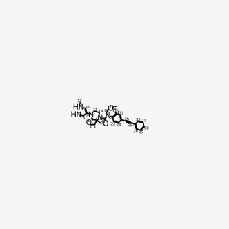 CCC1(C)C(=O)N(/C(C=N)=C/NC)CCN1C(=O)N(C=O)c1ccc(C#Cc2ccccc2)cc1F